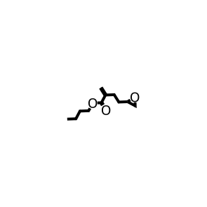 C=C(CCC1CO1)C(=O)OCCCC